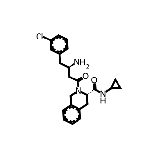 N[C@@H](CC(=O)N1Cc2ccccc2C[C@H]1C(=O)NC1CC1)Cc1cccc(Cl)c1